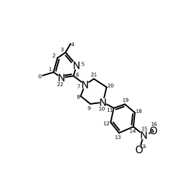 Cc1cc(C)nc(N2CCN(c3ccc([N+](=O)[O-])cc3)CC2)n1